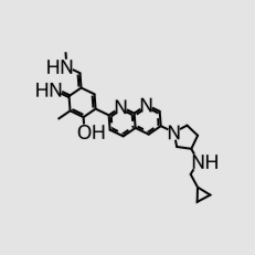 CN/C=C1/C=C(c2ccc3cc(N4CCC(NCC5CC5)C4)cnc3n2)C(O)=C(C)C1=N